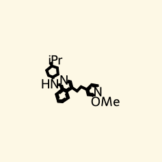 COc1cc(CCc2cnc(NC3CCC(C(C)C)CC3)c3ccccc23)ccn1